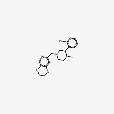 CC(C)c1ccccc1C1CN(Cc2cc3c(cn2)OCCO3)CCN1C